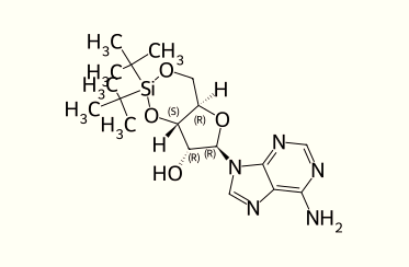 CC(C)(C)[Si]1(C(C)(C)C)OC[C@H]2O[C@@H](n3cnc4c(N)ncnc43)[C@H](O)[C@@H]2O1